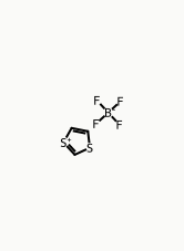 F[B-](F)(F)F.c1c[s+]cs1